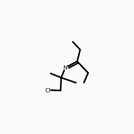 CCC(CC)=NC(C)(C)CCl